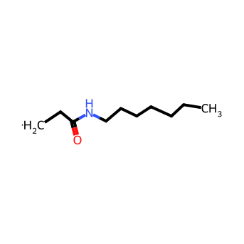 [CH2]CC(=O)NCCCCCCC